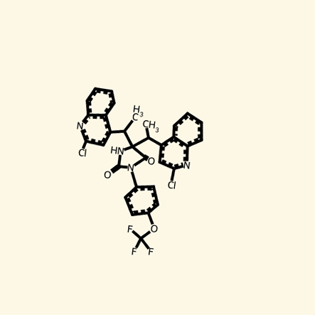 CC(c1cc(Cl)nc2ccccc12)C1(C(C)c2cc(Cl)nc3ccccc23)NC(=O)N(c2ccc(OC(F)(F)F)cc2)C1=O